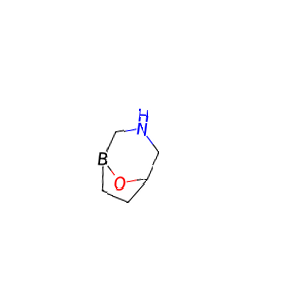 C1CC2CNCB1O2